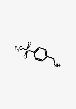 [NH]Cc1ccc(S(=O)(=O)C(F)(F)F)cc1